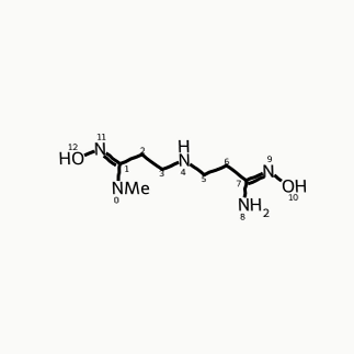 CN/C(CCNCC/C(N)=N/O)=N\O